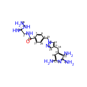 N=C(CNC(=O)c1ccc(Cn2cc(Cc3cc(N)nc(N)c3N)cn2)cc1)NN